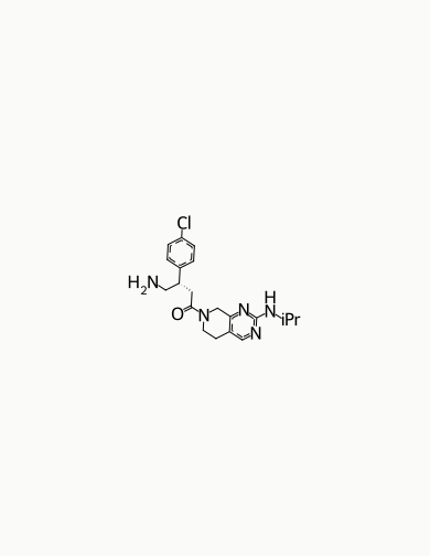 CC(C)Nc1ncc2c(n1)CN(C(=O)C[C@H](CN)c1ccc(Cl)cc1)CC2